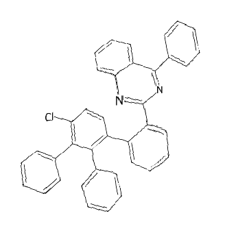 Clc1ccc(-c2ccccc2-c2nc(-c3ccccc3)c3ccccc3n2)c(-c2ccccc2)c1-c1ccccc1